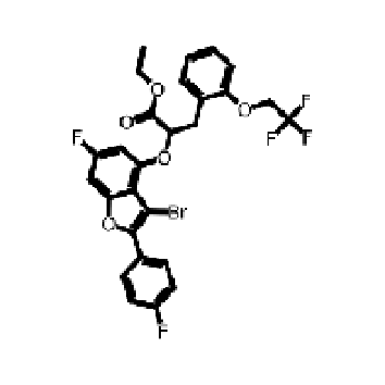 CCOC(=O)C(Cc1ccccc1OCC(F)(F)F)Oc1cc(F)cc2oc(-c3ccc(F)cc3)c(Br)c12